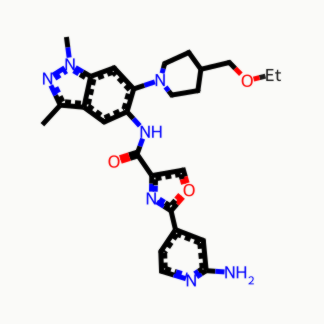 CCOCC1CCN(c2cc3c(cc2NC(=O)c2coc(-c4ccnc(N)c4)n2)c(C)nn3C)CC1